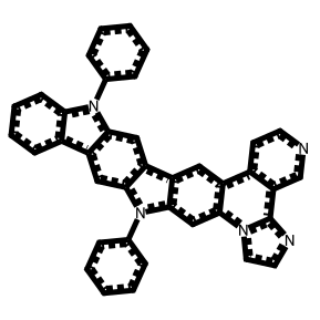 c1ccc(-n2c3ccccc3c3cc4c(cc32)c2cc3c5ccncc5c5nccn5c3cc2n4-c2ccccc2)cc1